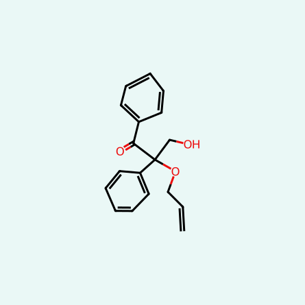 C=CCOC(CO)(C(=O)c1ccccc1)c1ccccc1